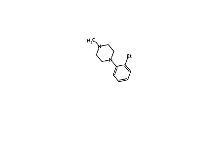 [CH2]Cc1ccccc1N1CCN(C)CC1